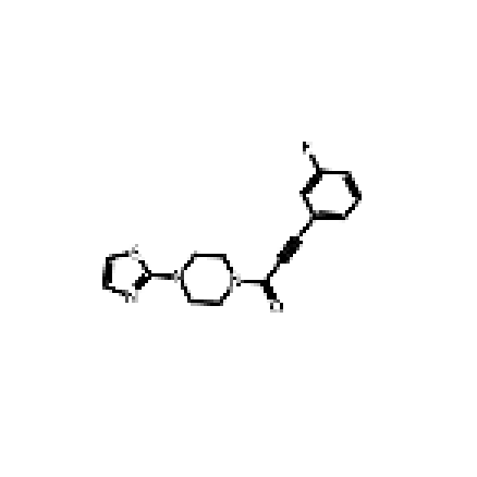 O=C(C#Cc1cccc(F)c1)N1CCN(c2nccs2)CC1